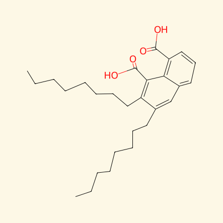 CCCCCCCCc1cc2cccc(C(=O)O)c2c(C(=O)O)c1CCCCCCCC